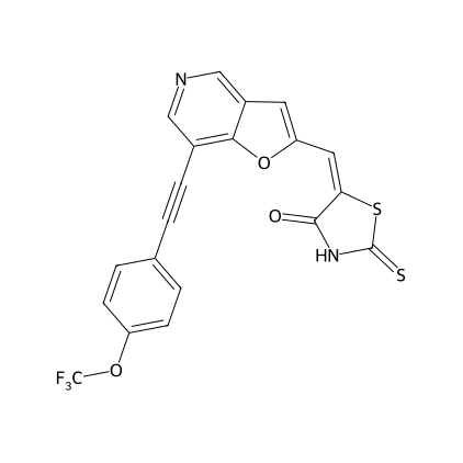 O=C1NC(=S)SC1=Cc1cc2cncc(C#Cc3ccc(OC(F)(F)F)cc3)c2o1